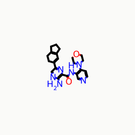 Nc1ncc(C2=CC3=C(CCC3)CC2)nc1C(=O)Nc1cnccc1N1CCOCC1